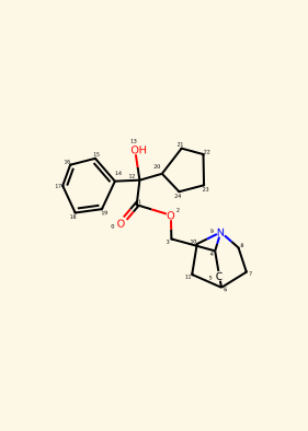 O=C(OCC1CC2CCN1CC2)C(O)(c1ccccc1)C1CCCC1